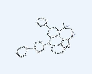 C/C1=C/C=C\c2oc3cccc(N(c4ccc(-c5ccccc5)cc4)c4cccc(-c5ccccc5)c4)c3c2CC1